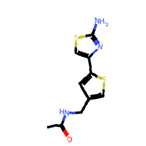 CC(=O)NCc1csc(-c2csc(N)n2)c1